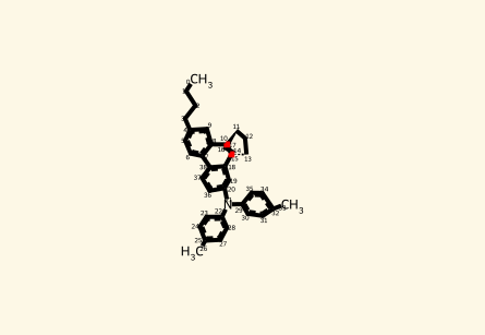 CCCCc1ccc2c(c1)[C@]13CCC[C@]1(CCC3)c1cc(N(c3ccc(C)cc3)c3ccc(C)cc3)ccc1-2